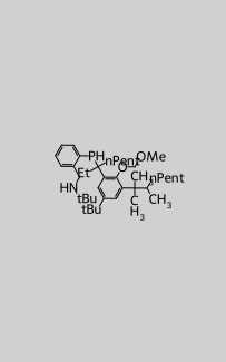 CCCCCC(C)C(C)(C)c1cc(C(C)(C)C)cc(C(CC)(CCCCC)Pc2ccccc2CNC(C)(C)C)c1OCOC